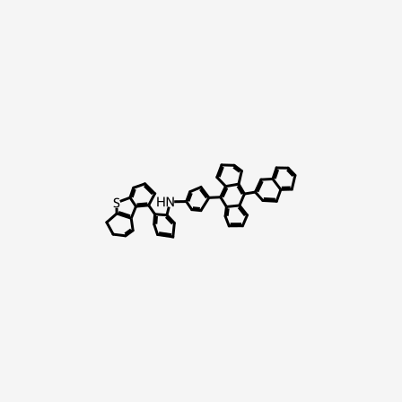 C1=Cc2c(sc3cccc(-c4ccccc4Nc4ccc(-c5c6ccccc6c(-c6ccc7ccccc7c6)c6ccccc56)cc4)c23)CC1